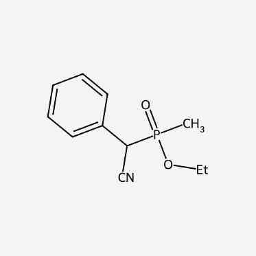 CCOP(C)(=O)C(C#N)c1ccccc1